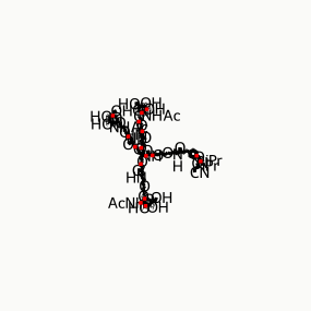 CC(=O)N[C@H]1[C@H](OCCOCCNCC(=O)CCOCC(COCCC(=O)NCCOCCO[C@@H]2O[C@H](CO)[C@H](O)[C@H](O)[C@H]2NC(C)=O)(COCCC(=O)NCCOCCO[C@@H]2O[C@H](CO)[C@H](O)[C@H](O)[C@H]2NC(C)=O)NC(=O)CCOCCOCCNC(=O)CCc2ccc(OP(OCCC#N)N(C(C)C)C(C)C)cc2)O[C@H](CO)[C@H](O)[C@@H]1O